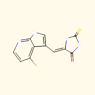 O=C1NC(=S)N/C1=C\c1c[nH]c2nccc(Cl)c12